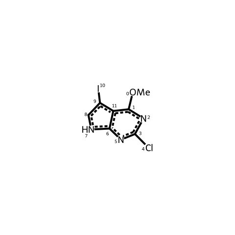 COc1nc(Cl)nc2[nH]cc(I)c12